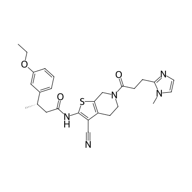 CCOc1cccc([C@@H](C)CC(=O)Nc2sc3c(c2C#N)CCN(C(=O)CCc2nccn2C)C3)c1